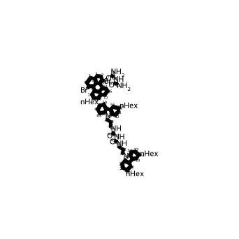 Brc1ccc2ccc(Br)c3c4cccc5cccc(c1c23)c54.CCCCCCc1ccc2c(c1)c1cc(CCCCCC)ccc1n2CCCNC(=O)NC(=O)NCCCn1c2ccc(CCCCCC)cc2c2cc(CCCCCC)ccc21.NC(=O)NC(N)=O